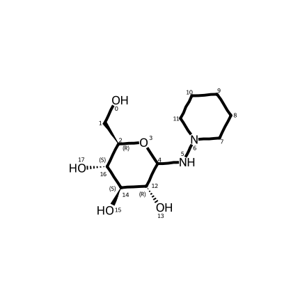 OC[C@H]1OC(NN2CCCCC2)[C@H](O)[C@@H](O)[C@@H]1O